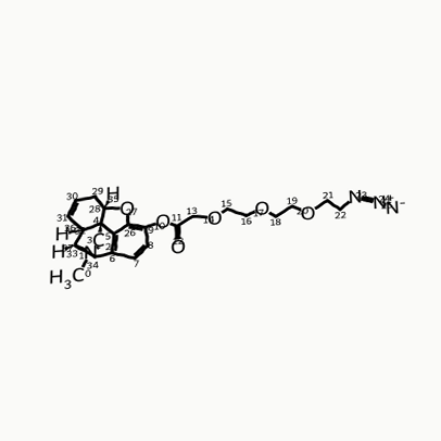 CN1CC[C@]23c4c5ccc(OC(=O)COCCOCCOCCN=[N+]=[N-])c4O[C@H]2CC=C[C@H]3[C@H]1C5